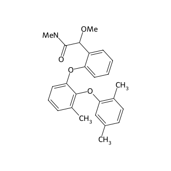 CNC(=O)C(OC)c1ccccc1Oc1cccc(C)c1Oc1cc(C)ccc1C